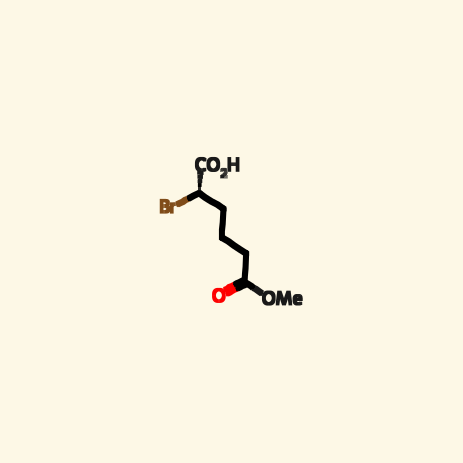 COC(=O)CCC[C@H](Br)C(=O)O